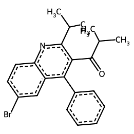 CC(C)C(=O)c1c(C(C)C)nc2ccc(Br)cc2c1-c1ccccc1